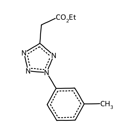 CCOC(=O)Cc1nnn(-c2cccc(C)c2)n1